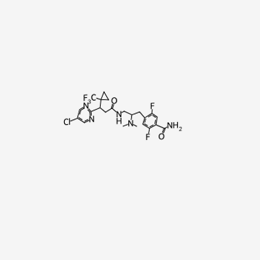 CN(C)C(CNC(=O)CC(c1ncc(Cl)cn1)C1(C(F)(F)F)CC1)Cc1cc(F)c(C(N)=O)cc1F